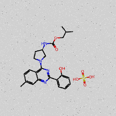 Cc1ccc2c(N3CC[C@@H](NC(=O)OCC(C)C)C3)nc(-c3ccccc3O)nc2c1.O=S(=O)(O)O